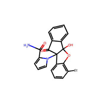 CCc1cccc2c1OC1(O)c3ccccc3C(=O)C21n1cccc1C(N)=O